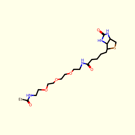 CCC(=O)NCCOCCOCCOCCNC(=O)CCCCC1SCC2NC(=O)NC21